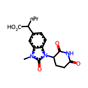 CCCC(C(=O)O)c1ccc2c(c1)n(C)c(=O)n2C1CCC(=O)NC1=O